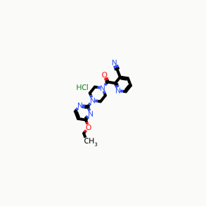 CCOc1ccnc(N2CCN(C(=O)c3ncccc3C#N)CC2)n1.Cl